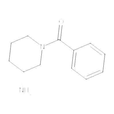 N[C@@H]1CCCN(C(=O)c2ccccc2)C1